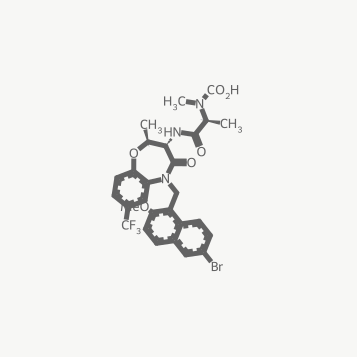 COc1ccc2cc(Br)ccc2c1CN1C(=O)[C@@H](NC(=O)[C@H](C)N(C)C(=O)O)[C@H](C)Oc2ccc(C(F)(F)F)cc21